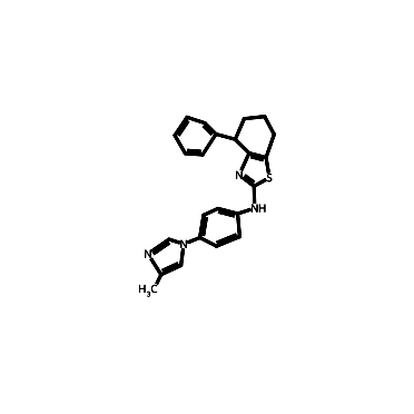 Cc1cn(-c2ccc(Nc3nc4c(s3)CCCC4c3ccccc3)cc2)cn1